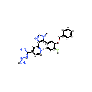 Cn1cnc(-c2cc(/C(N)=N/NN)ccn2)c1-c1ccc(F)c(OCc2ccccc2)c1